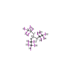 IC(I)(I)C(I)(I)C[C](CC(I)(I)C(I)(I)I)CC(I)(I)C(I)(I)I